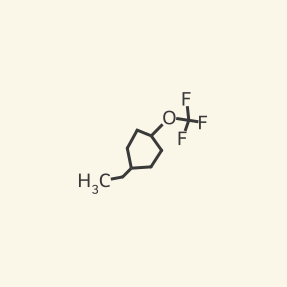 CCC1CCC(OC(F)(F)F)CC1